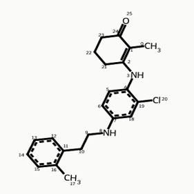 CC1=C(Nc2ccc(NCCc3ccccc3C)cc2Cl)CCCC1=O